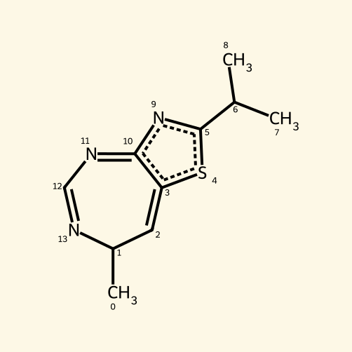 CC1C=c2sc(C(C)C)nc2=NC=N1